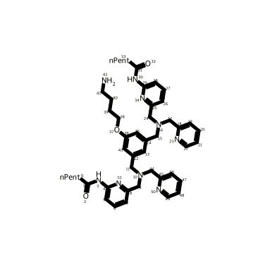 CCCCCC(=O)Nc1cccc(CN(Cc2cc(CN(Cc3ccccn3)Cc3cccc(NC(=O)CCCCC)n3)cc(OCCCCN)c2)Cc2ccccn2)n1